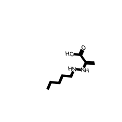 C=C(NNCCCCC)C(=O)O